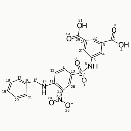 O=C(O)c1cc(NS(=O)(=O)c2ccc(NCc3ccccc3)c([N+](=O)[O-])c2)cc(C(=O)O)c1